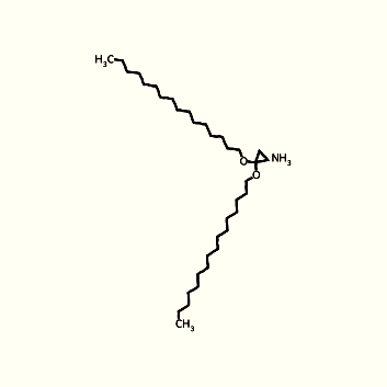 CCCCCCCCCCCCCCCCOC1(OCCCCCCCCCCCCCCCC)CC1.N